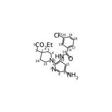 CCOC(=O)CC1CCN(c2ncc(N)cc2NC(=O)c2cccc(Cl)c2)CC1